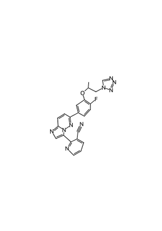 CC(Cn1cnnn1)Oc1cc(-c2ccc3ncc(-c4ncccc4C#N)n3n2)ccc1F